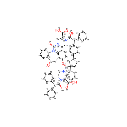 O=C1Cc2ccccc2N(C(=O)N2CCN(C(O)C(c3ccccc3)c3ccc(C4CCC(C(=O)N5CCN(C(=O)C(c6ccccc6)c6ccccc6)[C@H](C(=O)O)C5)(c5ccccc5)C4)cc3)[C@H](C(=O)O)C2)c2ccccc21